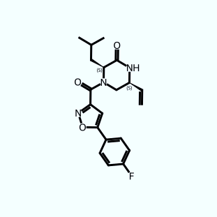 C=C[C@H]1CN(C(=O)c2cc(-c3ccc(F)cc3)on2)[C@@H](CC(C)C)C(=O)N1